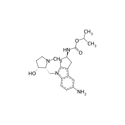 CC(C)OC(=O)N[C@H]1Cc2c(n(C[C@@H]3[C@H](O)CCN3C)c3ccc(N)cc23)C1